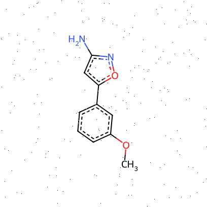 COc1cccc(-c2cc(N)no2)c1